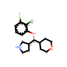 Fc1cccc(O[C@H](C2CCOCC2)C2CCNC2)c1Cl